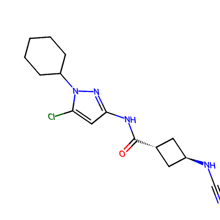 N#CN[C@H]1C[C@H](C(=O)Nc2cc(Cl)n(C3CCCCC3)n2)C1